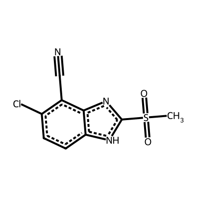 CS(=O)(=O)c1nc2c(C#N)c(Cl)ccc2[nH]1